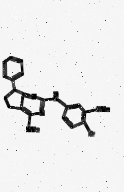 CNc1nc(Nc2ccc(Br)c(OC)c2)nc2c1CCC2c1ccccc1